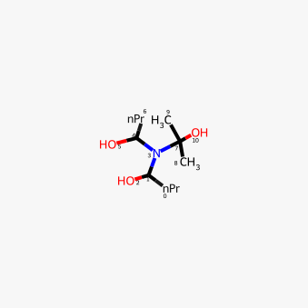 CCCC(O)N(C(O)CCC)C(C)(C)O